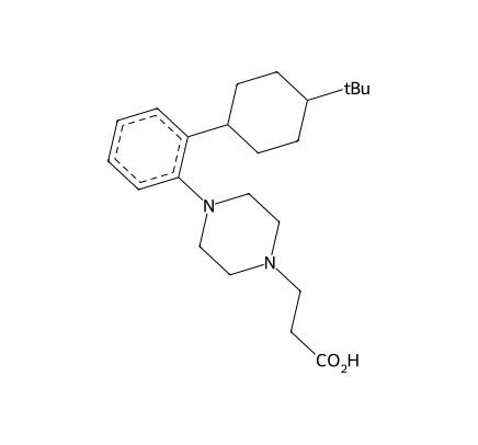 CC(C)(C)C1CCC(c2ccccc2N2CCN(CCC(=O)O)CC2)CC1